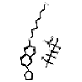 CCCCCCCCOc1ccc2cc([S+]3CCCC3)ccc2c1.O=S(=O)([O-])C(F)(F)C(F)(F)C(F)(F)C(F)(F)F